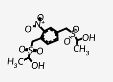 CC(O)S(=O)(=O)Cc1ccc(CS(=O)(=O)C(C)O)c([N+](=O)[O-])c1